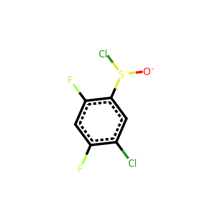 [O-][S+](Cl)c1cc(Cl)c(F)cc1F